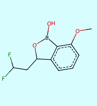 COc1cccc2c1B(O)OC2CC(F)F